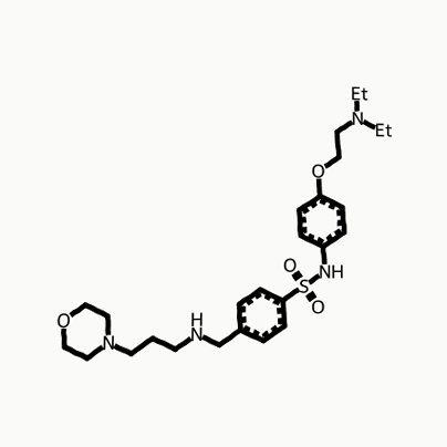 CCN(CC)CCOc1ccc(NS(=O)(=O)c2ccc(CNCCCN3CCOCC3)cc2)cc1